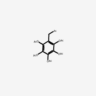 CC(=O)Cc1c(OC(C)=O)c(OC(C)=O)c(OC(C)=O)c(OC(C)=O)c1OC(C)=O